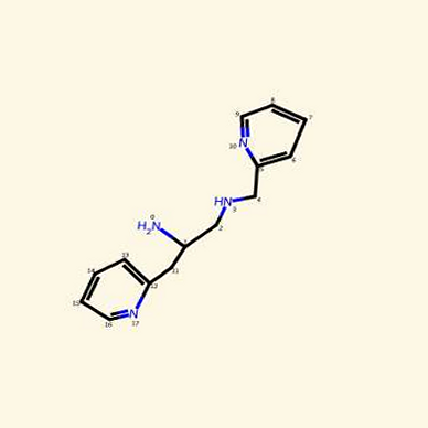 NC(CNCc1ccccn1)Cc1ccccn1